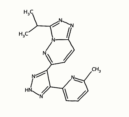 Cc1cccc(-c2n[nH]nc2-c2ccc3nnc(C(C)C)n3n2)n1